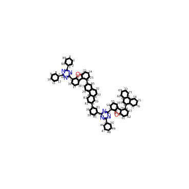 c1ccc(-c2nc(-c3ccccc3)nc(-c3cccc4c3oc3cccc(-c5ccc6c(ccc7cc(-c8cccc(-c9nc(-c%10ccccc%10)nc(-c%10cccc%11c%10oc%10cccc(-c%12cc%13ccccc%13c%13ccccc%12%13)c%10%11)n9)c8)ccc76)c5)c34)n2)cc1